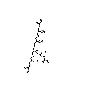 C=CC(=O)OCC(O)COCC(O)COCC(COCC(O)COC(=O)C=C)OCC(O)COC(=O)C=C